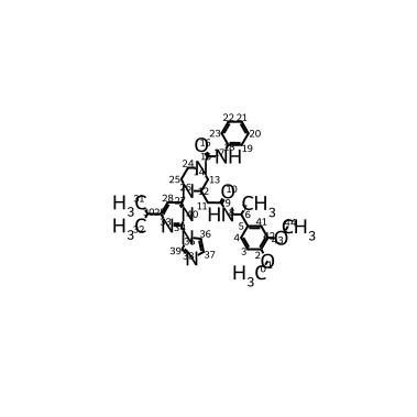 COc1ccc(C(C)NC(=O)CC2CN(C(=O)Nc3ccccc3)CCN2c2cc(C(C)C)nc(-n3ccnc3)n2)cc1OC